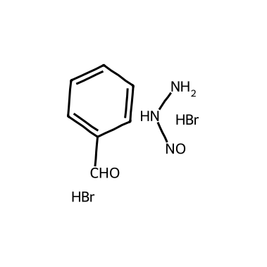 Br.Br.NNN=O.O=Cc1ccccc1